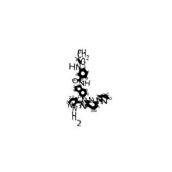 C=CC(=O)Nc1cccc(C(=O)N[C@H]2CCc3cc(-n4c(-c5cccnc5N)nc5ccc(-n6cccn6)nc54)ccc32)c1